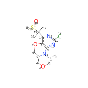 C[C@@H]1COCC2COc3c(nc(Cl)nc3C(C)(C)[S+](C)[O-])N21